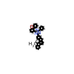 CC1(C)c2ccccc2-c2ccc3c(c21)-c1ccc(-c2nc(-c4ccccc4)nc(-c4cccc5oc6ccccc6c45)n2)cc1C3